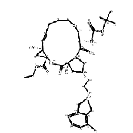 CCOC(=O)[C@@]12C[C@H]1/C=C\CCCOC[C@H](NC(=O)OC(C)(C)C)C(=O)N1C[C@H](OCON3Cc4cccc(F)c4C3)C[C@H]1C(=O)N2